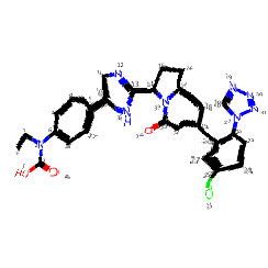 CCN(C(=O)O)c1ccc(-c2cnc(C3CCc4cc(-c5cc(Cl)ccc5-n5cnnn5)cc(=O)n43)[nH]2)cc1